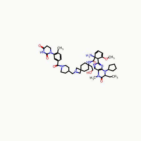 CCC1C(=O)N(C)c2cnc(C3C(OC)=CC=CC3(N)C(=O)NC3(CCO)CCC4(CC3)CN(CC3CCN(C(=O)c5ccc(C)c(N6CCC(=O)NC6=O)c5)CC3)C4)nc2N1C1CCCC1